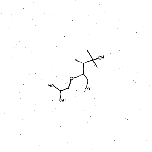 C[C@@H](C(CO)OCC(O)O)C(C)(C)O